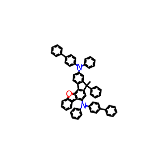 CC1(c2ccccc2)c2cc(N(c3ccccc3)c3ccc(-c4ccccc4)cc3)ccc2-c2c1cc(N(c1ccccc1)c1ccc(-c3ccccc3)cc1)c1c2oc2ccccc21